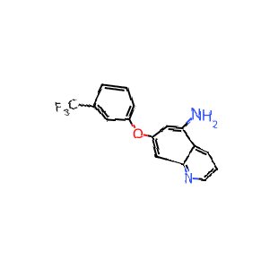 Nc1cc(Oc2cccc(C(F)(F)F)c2)cc2ncccc12